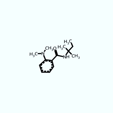 CCC(C)(C)NC(=O)c1ccccc1N(C)C